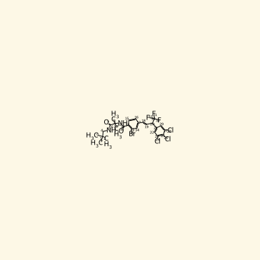 CC(C)(C)CNC(=O)C(C)(C)NC(=O)c1ccc(C=CC(c2cc(Cl)c(Cl)c(Cl)c2)C(F)(F)F)cc1Br